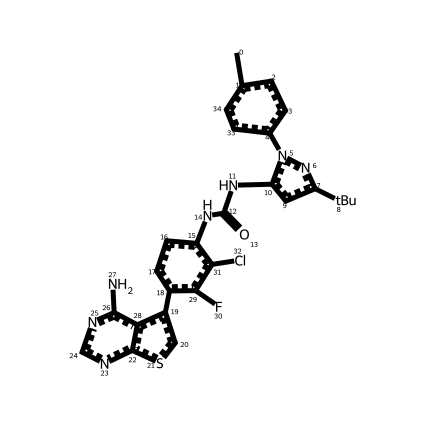 Cc1ccc(-n2nc(C(C)(C)C)cc2NC(=O)Nc2ccc(-c3csc4ncnc(N)c34)c(F)c2Cl)cc1